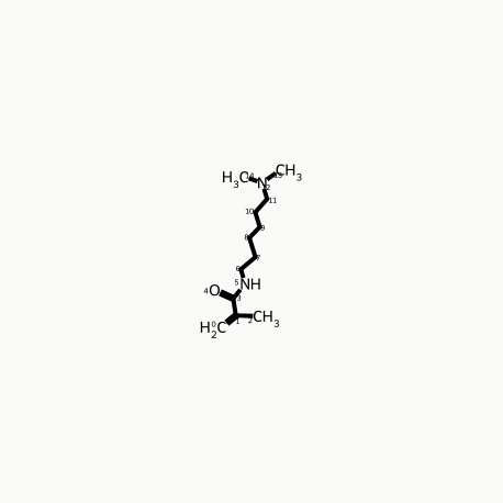 C=C(C)C(=O)NCCCCCCN(C)C